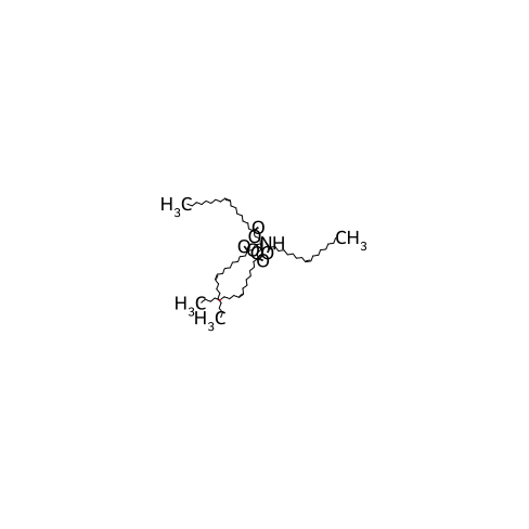 CCCCCCCC/C=C\CCCCCCCC(=O)NC(COC(=O)CCCCCCC/C=C\CCCCCCCC)(COC(=O)CCCCCCC/C=C\CCCCCCCC)COC(=O)CCCCCCC/C=C\CCCCCCCC